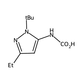 CCc1cc(NC(=O)O)n(C(C)(C)C)n1